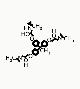 CC1CN1CC(O)COc1ccc(C(C)(c2ccc(OCC(O)CNC3(C)CC3)cc2)c2ccc(OCC(O)CN3CC3C)cc2)cc1